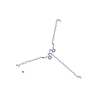 CCCCCCCCCCCCCCCCC#CCCc1ccccc1\N=C/C(/C=C/CCCCCCCCCCCCCCCCCCCCCCC)=N/c1ccccc1CCC#CCCCCCCCCCCCCCCCC.[Ni]